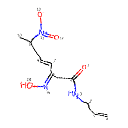 C=CCNC(=O)C(C=CC(C)[N+](=O)[O-])=NO